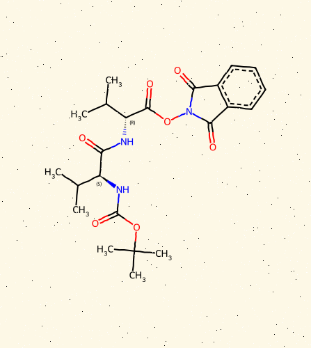 CC(C)[C@H](NC(=O)OC(C)(C)C)C(=O)N[C@@H](C(=O)ON1C(=O)c2ccccc2C1=O)C(C)C